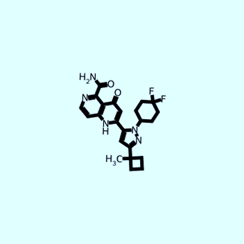 CC1(c2cc(-c3cc(=O)c4c(C(N)=O)nccc4[nH]3)n(C3CCC(F)(F)CC3)n2)CCC1